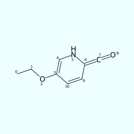 CCOC1=CNC(=C=O)C=C1